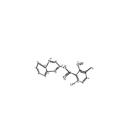 COc1c(C)ccc(Cl)c1C(=O)Oc1cnc2ccccc2n1